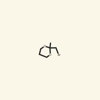 CC1(CBr)OCCCO1